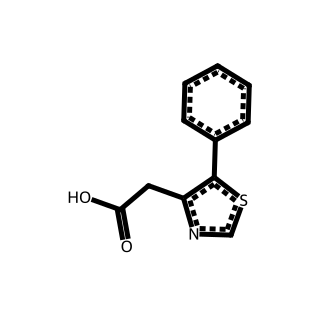 O=C(O)Cc1ncsc1-c1ccccc1